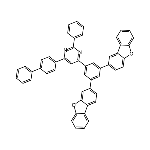 c1ccc(-c2ccc(-c3cc(-c4cc(-c5ccc6c(c5)oc5ccccc56)cc(-c5ccc6oc7ccccc7c6c5)c4)nc(-c4ccccc4)n3)cc2)cc1